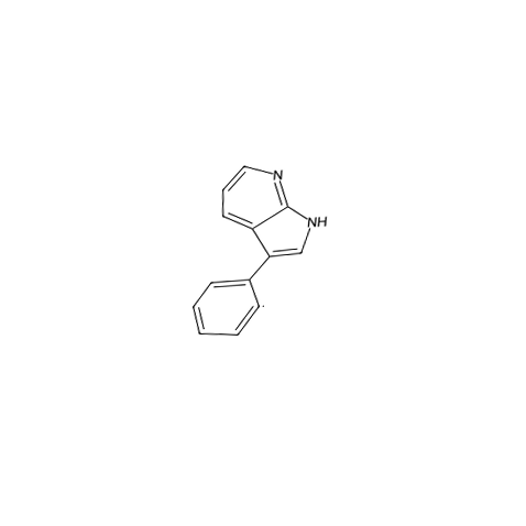 [c]1ccccc1-c1c[nH]c2ncccc12